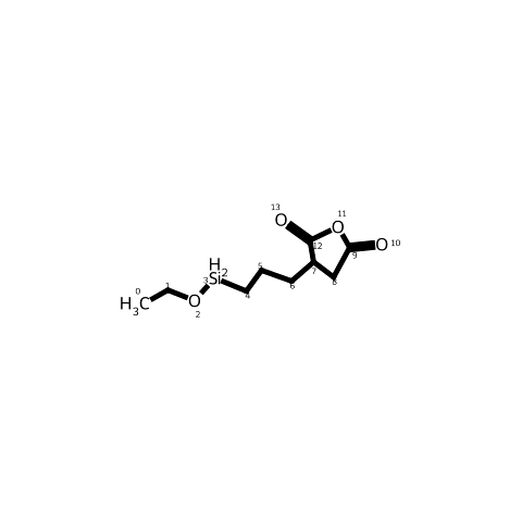 CCO[SiH2]CCCC1CC(=O)OC1=O